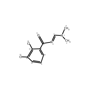 CN(C)C=NC(=O)c1cccc(Cl)c1Cl